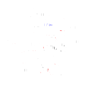 COc1ccc(OC)c(C(=O)O[C@H]2[C@@H]3[C@]4(OC(C)=O)CO[C@@H]4C[C@H](O)[C@@]3(C)C(=O)[C@H](OC(C)=O)C3=C(C)[C@@H](OC(=O)[C@H](O[Si](C(C)C)(C(C)C)C(C)C)[C@@H](NC(=O)OC(C)(C)C)c4ccco4)C[C@]2(O)C3(C)C)c1